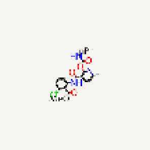 CCCNC(=O)Oc1nc(C)ccc1C(=O)Nc1cccc(Cl)c1C(=O)OC